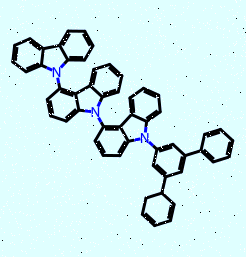 C1=CCC(c2cc(-c3ccccc3)cc(-n3c4ccccc4c4c(-n5c6ccccc6c6c(-n7c8ccccc8c8ccccc87)cccc65)cccc43)c2)C=C1